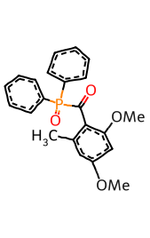 COc1cc(C)c(C(=O)P(=O)(c2ccccc2)c2ccccc2)c(OC)c1